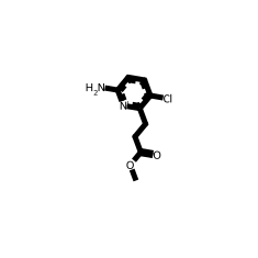 COC(=O)CCc1nc(N)ccc1Cl